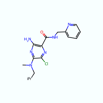 CC(C)CN(C)c1nc(N)c(C(=O)NCc2ccccn2)nc1Cl